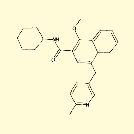 COc1c(C(=O)NC2CCCCC2)cc(Cc2ccc(C)nc2)c2ccccc12